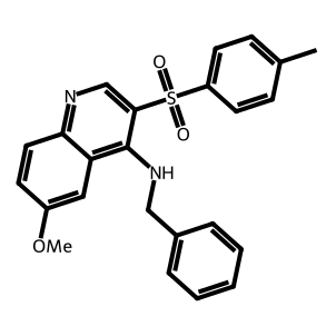 COc1ccc2ncc(S(=O)(=O)c3ccc(C)cc3)c(NCc3ccccc3)c2c1